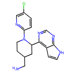 NCC1CCN(c2ccc(Cl)cn2)C(c2ncnc3[nH]ccc23)C1